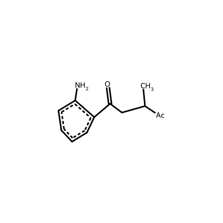 CC(=O)C(C)CC(=O)c1ccccc1N